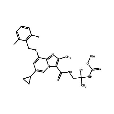 CCC(C)(CNC(=O)c1c(C)nc2c(OCc3c(F)cccc3F)cc(C3CC3)cn12)NC(=O)OC(C)(C)C